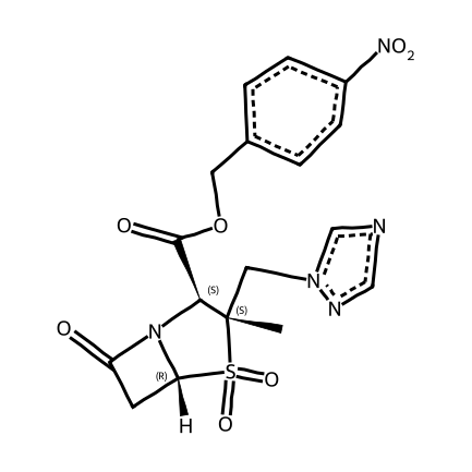 C[C@]1(Cn2cncn2)[C@H](C(=O)OCc2ccc([N+](=O)[O-])cc2)N2C(=O)C[C@H]2S1(=O)=O